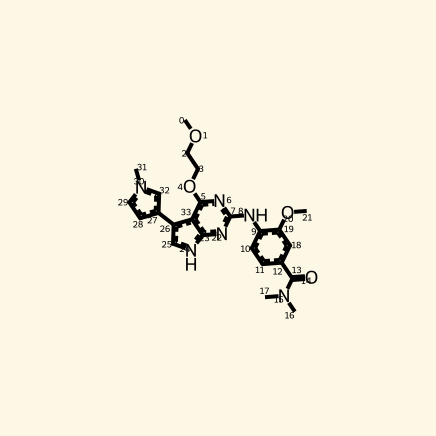 COCCOc1nc(Nc2ccc(C(=O)N(C)C)cc2OC)nc2[nH]cc(-c3ccn(C)c3)c12